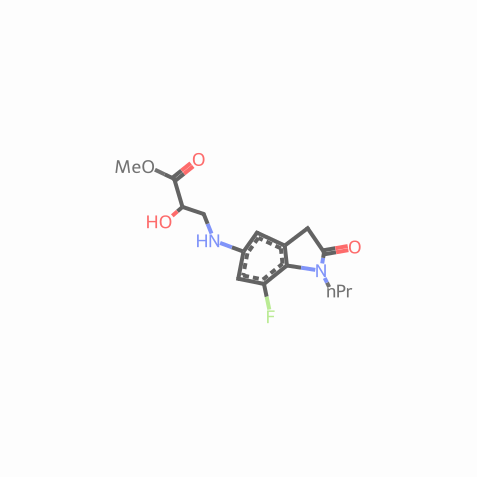 CCCN1C(=O)Cc2cc(NCC(O)C(=O)OC)cc(F)c21